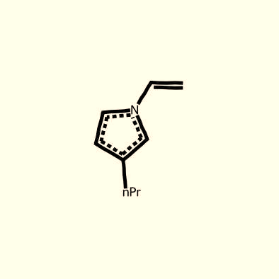 C=Cn1ccc(CCC)c1